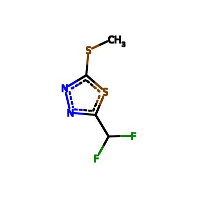 CSc1nnc(C(F)F)s1